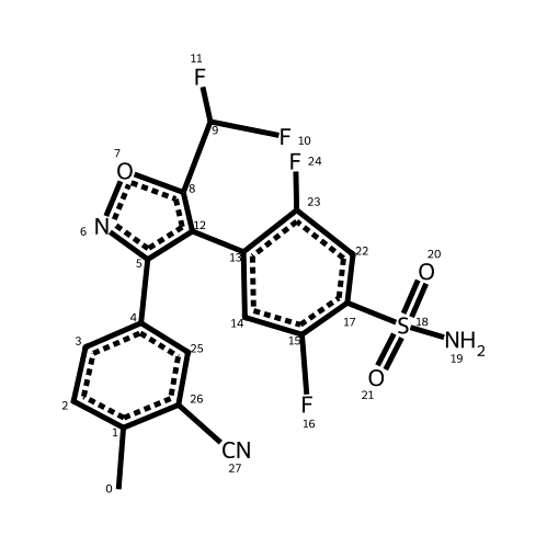 Cc1ccc(-c2noc(C(F)F)c2-c2cc(F)c(S(N)(=O)=O)cc2F)cc1C#N